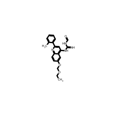 CCOCOc1ccc2nc(-c3ccccc3C)cc(NC(=N)NC=O)c2c1